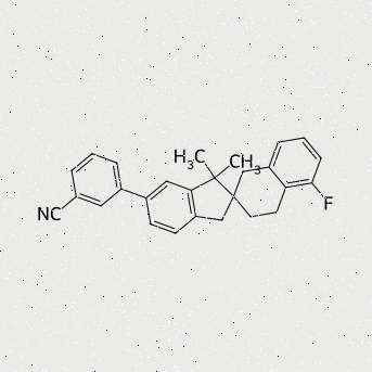 CC1(C)c2cc(-c3cccc(C#N)c3)ccc2CC12CCc1c(F)cccc1C2